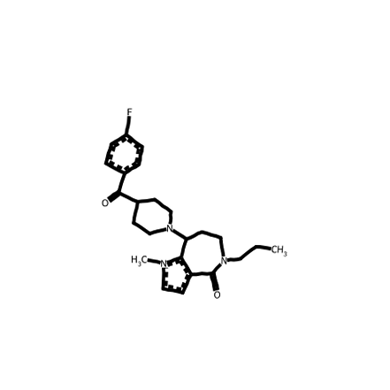 CCCN1CCC(N2CCC(C(=O)c3ccc(F)cc3)CC2)c2c(ccn2C)C1=O